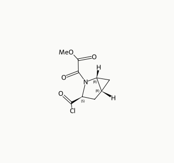 COC(=O)C(=O)N1[C@@H]2C[C@@H]2C[C@H]1C(=O)Cl